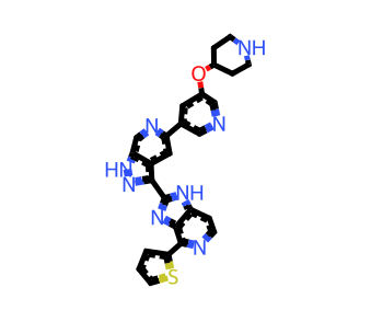 c1csc(-c2nccc3[nH]c(-c4n[nH]c5cnc(-c6cncc(OC7CCNCC7)c6)cc45)nc23)c1